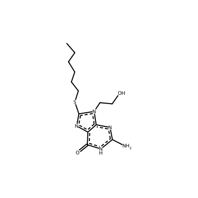 CCCCCCSc1nc2c(=O)[nH]c(N)nc2n1CCO